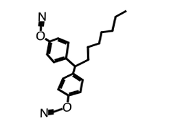 CCCCCCCC(c1ccc(OC#N)cc1)c1ccc(OC#N)cc1